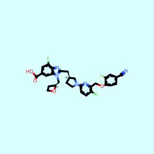 N#Cc1ccc(OCc2nc(N3CC[C@@H](Cc4nc5c(F)cc(C(=O)O)cc5n4C[C@@H]4CCO4)C3)ccc2F)c(F)c1